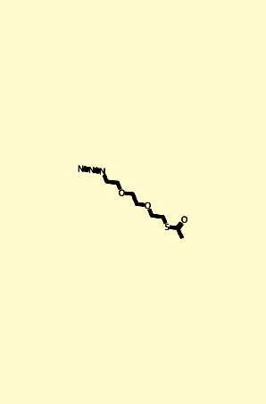 CC(=O)SCCOCCOCCN=[N+]=[N-]